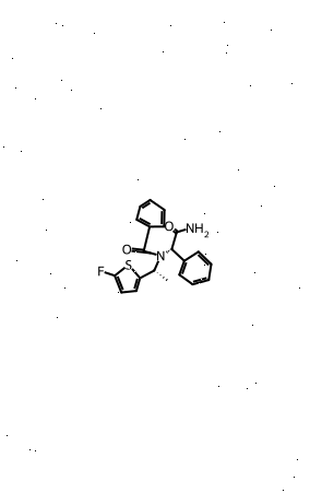 C[C@H](c1ccc(F)s1)N(C(=O)c1ccccc1)[C@H](C(N)=O)c1ccccc1